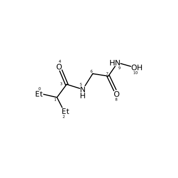 CCC(CC)C(=O)NCC(=O)NO